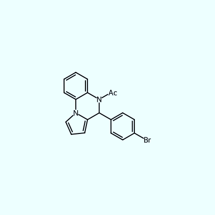 CC(=O)N1c2ccccc2-n2cccc2C1c1ccc(Br)cc1